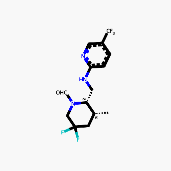 C[C@@H]1CC(F)(F)CN(C=O)[C@@H]1CNc1ccc(C(F)(F)F)cn1